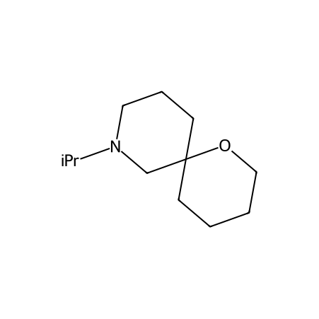 CC(C)N1CCCC2(CCCCO2)C1